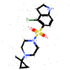 CC1(N2CCN(S(=O)(=O)c3ccc4c(c3Cl)CCN4)CC2)CC1